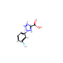 O=C(O)c1nnn(-c2cccc(F)c2)n1